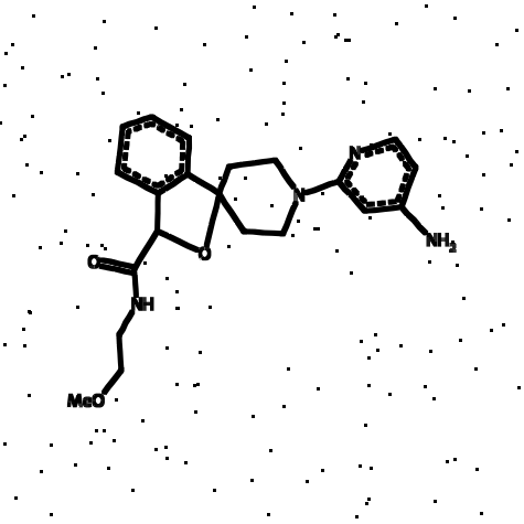 COCCNC(=O)C1OC2(CCN(c3cc(N)ccn3)CC2)c2ccccc21